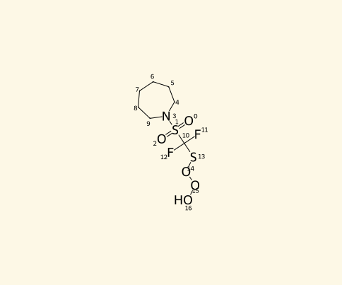 O=S(=O)(N1CCCCCC1)C(F)(F)SOOO